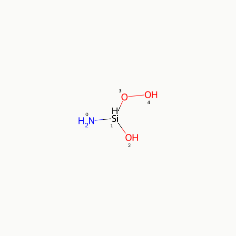 N[SiH](O)OO